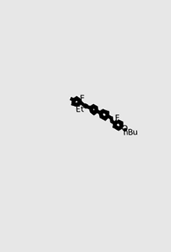 CCCCOc1ccc(CCc2ccc(-c3ccc(C#Cc4c(F)cc(C)cc4CC)cc3)cc2)c(F)c1